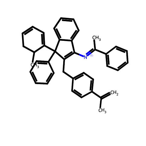 C=C(C)c1ccc(CC2=C(/N=C(\C)c3ccccc3)c3ccccc3C2(C2=CC=CCC2C)c2ccccc2)cc1